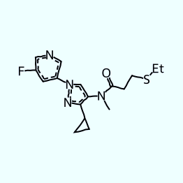 CCSCCC(=O)N(C)c1cn(-c2cncc(F)c2)nc1C1CC1